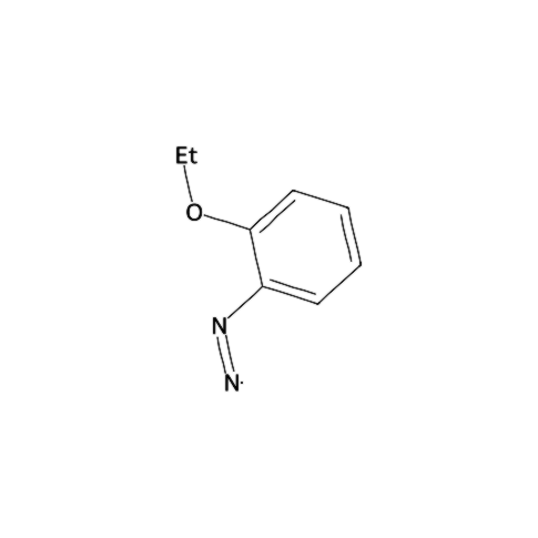 CCOc1ccccc1N=[N]